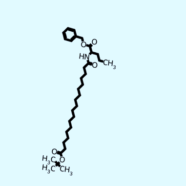 CCCC(NC(=O)CCCCCCCCCCCCCCCCC(=O)OC(C)(C)C)C(=O)OCc1ccccc1